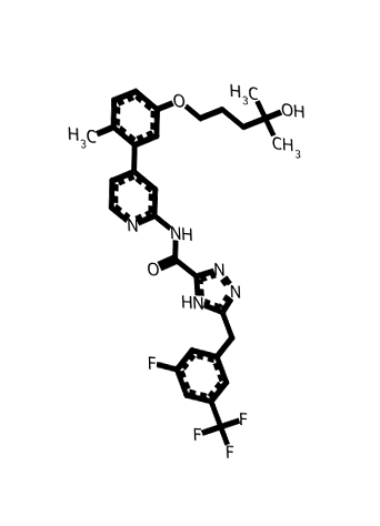 Cc1ccc(OCCCC(C)(C)O)cc1-c1ccnc(NC(=O)c2nnc(Cc3cc(F)cc(C(F)(F)F)c3)[nH]2)c1